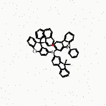 CC1(C)c2ccccc2-c2ccc(N(c3ccc4c(c3)C(c3ccccc3)(c3cccc5ccccc35)c3ccccc3O4)c3ccc4c5ccccc5n(-c5ccccc5)c4c3)cc21